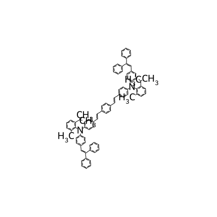 Cc1cccc(C(C)C)c1N(c1ccc(C=C(c2ccccc2)c2ccccc2)cc1)c1ccc(/C=C/c2ccc(/C=C/c3ccc(N(c4ccc(C=C(c5ccccc5)c5ccccc5)cc4)c4c(C)cccc4C(C)C)cc3)cc2)cc1